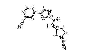 N#Cc1cccc(-c2cnc(C(=O)NC3CCN(C#N)C3)o2)c1